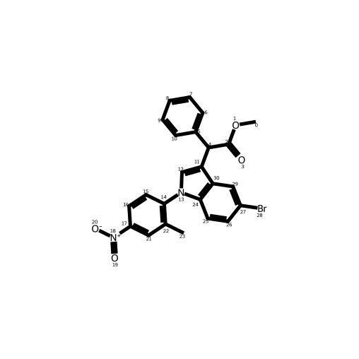 COC(=O)C(c1ccccc1)c1cn(-c2ccc([N+](=O)[O-])cc2C)c2ccc(Br)cc12